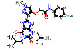 CC(C)Cn1c(=O)c2nc(-c3nn(C)cc3OCC(=O)Nc3ccc(F)cc3)[nH]c2n(CC(C)C)c1=O